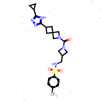 O=C(N1CC(CNS(=O)(=O)c2ccc(C(F)(F)F)cc2)C1)N1CC2(CC(c3nnc(C4CC4)[nH]3)C2)C1